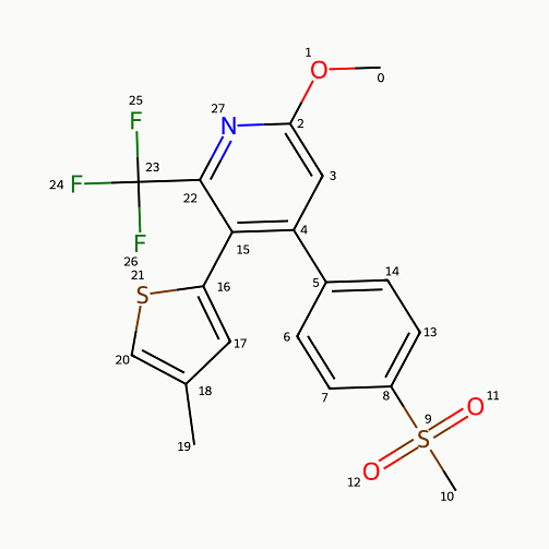 COc1cc(-c2ccc(S(C)(=O)=O)cc2)c(-c2cc(C)cs2)c(C(F)(F)F)n1